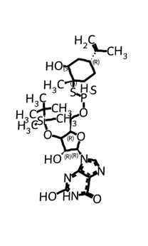 C=C(C)[C@@H]1CC[C@](C)(S[PH](=S)OC[C@H]2O[C@@H](n3cnc4c(=O)[nH]c(O)nc43)[C@H](O)C2O[Si](C)(C)C(C)(C)C)[C@@H](O)C1